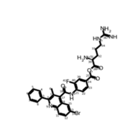 Cc1c(-c2ccccc2)nc2ccc(Br)cc2c1C(=O)Nc1ccc(C(=O)OC(=O)[C@@H](N)CCCNC(=N)N)cc1F